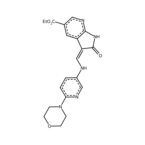 CCOC(=O)c1cnc2c(c1)/C(=C/Nc1ccc(N3CCOCC3)nc1)C(=O)N2